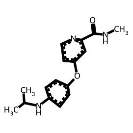 CNC(=O)c1cc(Oc2ccc(NC(C)C)cc2)ccn1